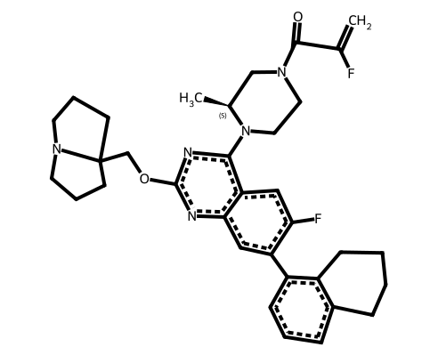 C=C(F)C(=O)N1CCN(c2nc(OCC34CCCN3CCC4)nc3cc(-c4cccc5c4CCCC5)c(F)cc23)[C@@H](C)C1